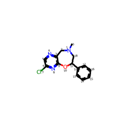 CN1Cc2ncc(Cl)nc2OC(c2ccccc2)C1